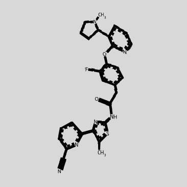 Cc1sc(NC(=O)Cc2ccc(Oc3ncccc3C3CCCN3C)c(F)c2)nc1-c1cccc(C#N)n1